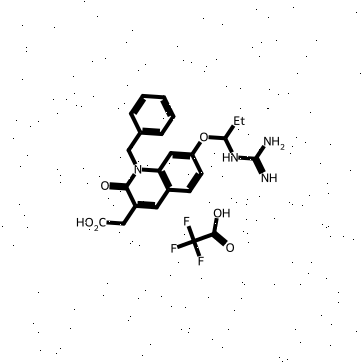 CCC(NC(=N)N)Oc1ccc2cc(CC(=O)O)c(=O)n(Cc3ccccc3)c2c1.O=C(O)C(F)(F)F